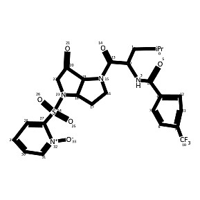 CC(C)CC(NC(=O)c1ccc(C(F)(F)F)cc1)C(=O)N1CCC2C1C(=O)CN2S(=O)(=O)c1cccc[n+]1[O-]